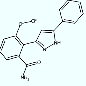 NC(=O)c1cccc(OC(F)(F)F)c1-c1cc(-c2ccccc2)[nH]n1